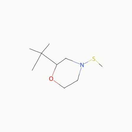 CSN1CCOC(C(C)(C)C)C1